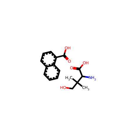 CC(C)(CO)C(N)C(=O)O.O=C(O)c1cccc2ccccc12